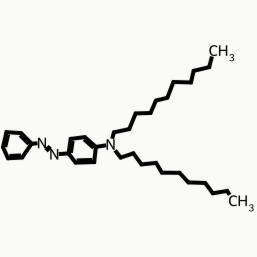 CCCCCCCCCCCN(CCCCCCCCCCC)c1ccc(N=Nc2ccccc2)cc1